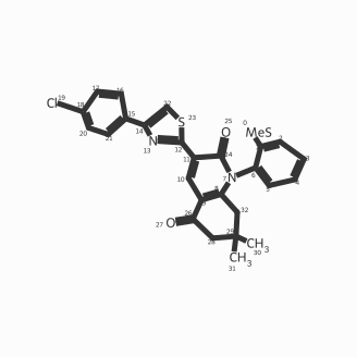 CSc1ccccc1-n1c2c(cc(-c3nc(-c4ccc(Cl)cc4)cs3)c1=O)C(=O)CC(C)(C)C2